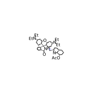 CCN(CC)c1ccc2c(c1)Oc1cc(N(CC)CC)ccc1C21c2ccccc2C(=O)N1/N=C/c1ccc2cccc(OC(C)=O)c2n1